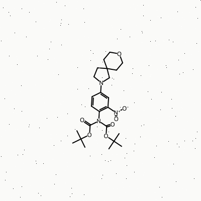 CC(C)(C)OC(=O)N(C(=O)OC(C)(C)C)c1ccc(N2CCC3(CCOCC3)C2)cc1[N+](=O)[O-]